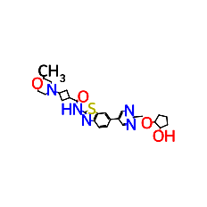 C[C@H]1CN(C2CC(C(=O)Nc3nc4ccc(-c5cnc(CO[C@H]6CCC[C@@H]6O)nc5)cc4s3)C2)CCO1